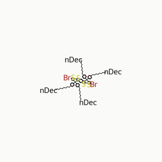 CCCCCCCCCCCCCCCCCCc1ccc(C2(c3ccc(CCCCCCCCCCCCCCCCCC)cc3)c3cc(Br)sc3-c3sc4cc5c6c(sc5cc4c32)-c2sc(Br)cc2C6(c2ccc(CCCCCCCCCCCCCCCCCC)cc2)c2ccc(CCCCCCCCCCCCCCCCCC)cc2)cc1